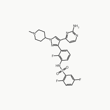 CN1CCC(n2cc(-c3ccnc(N)n3)c(-c3cccc(NS(=O)(=O)c4cc(F)ccc4F)c3F)n2)CC1